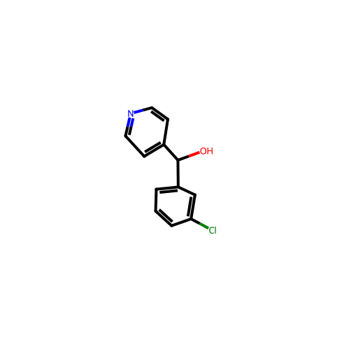 OC(c1ccncc1)c1cccc(Cl)c1